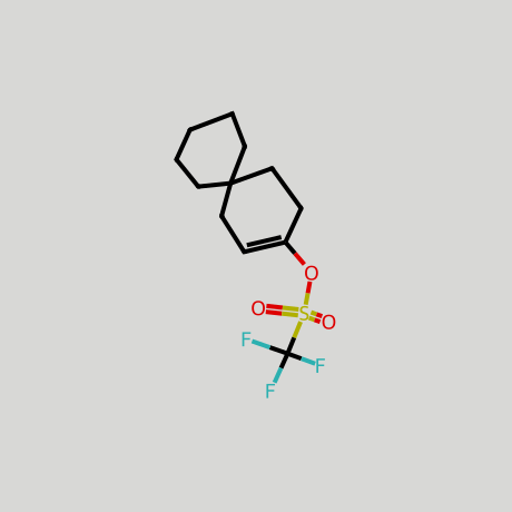 O=S(=O)(OC1=CCC2(CCCCC2)CC1)C(F)(F)F